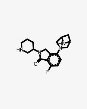 O=C1c2c(F)ccc(N3CC4CC(C3)N4)c2CN1C1CCCNC1